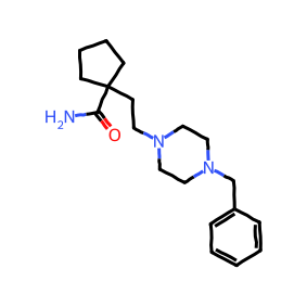 NC(=O)C1(CCN2CCN(Cc3ccccc3)CC2)CCCC1